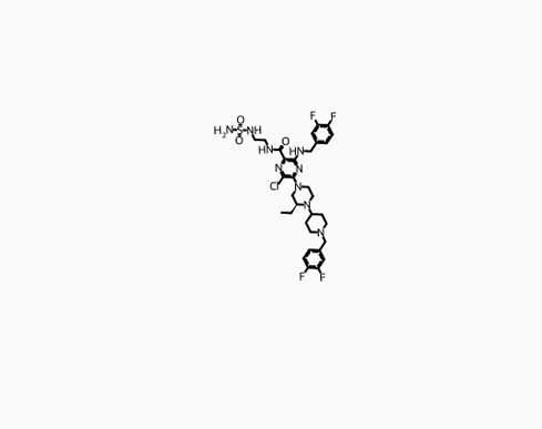 CC[C@H]1CN(c2nc(NCc3ccc(F)c(F)c3)c(C(=O)NCCNS(N)(=O)=O)nc2Cl)CCN1C1CCN(Cc2ccc(F)c(F)c2)CC1